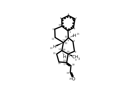 C[C@]12CC[C@@H]3c4ccccc4CC[C@H]3[C@@H]1CCC2=CC=O